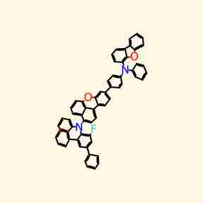 Fc1cc(-c2ccccc2)cc(-c2ccccc2)c1N(c1ccccc1)c1ccc2c3c(cccc13)Oc1cc(-c3ccc(N(c4ccccc4)c4cccc5c4oc4ccccc45)cc3)ccc1-2